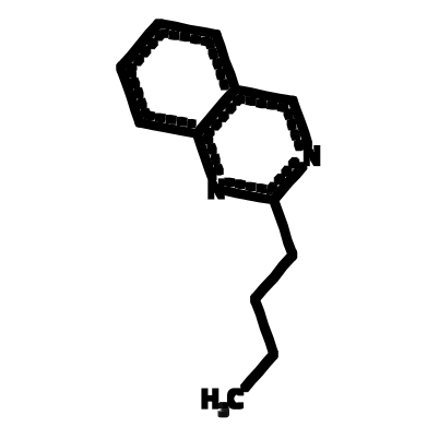 CCCCc1ncc2ccccc2n1